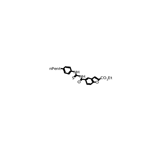 CCCCCc1ccc(NC(=S)NC(=O)c2ccc3oc(C(=O)OCC)cc3c2)cc1